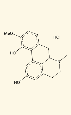 COc1ccc2c(c1O)-c1cc(O)cc3c1C(C2)N(C)CC3.Cl